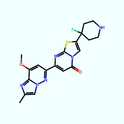 COc1cc(-c2cc(=O)n3cc(C4(F)CCNCC4)sc3n2)nn2cc(C)nc12